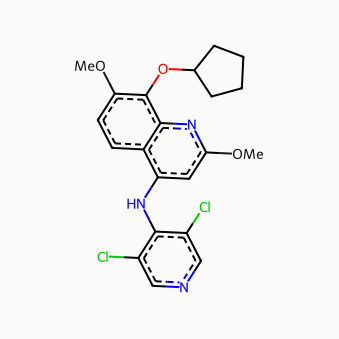 COc1cc(Nc2c(Cl)cncc2Cl)c2ccc(OC)c(OC3CCCC3)c2n1